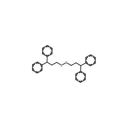 c1ccc(C(CCSSCCC(c2ccccc2)c2ccccc2)c2ccccc2)cc1